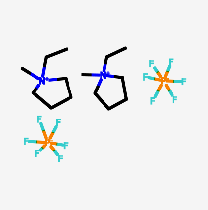 CC[N+]1(C)CCCC1.CC[N+]1(C)CCCC1.F[P-](F)(F)(F)(F)F.F[P-](F)(F)(F)(F)F